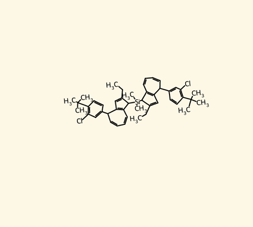 CCC1=CC2=C(C=CC=CC2c2ccc(C(C)(C)C)c(Cl)c2)C1[Si](C)(C)C1C(CC)=CC2=C1C=CC=CC2c1ccc(C(C)(C)C)c(Cl)c1